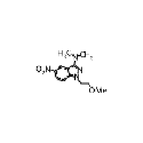 COCCn1nc(N(C)C)c2cc([N+](=O)[O-])ccc21